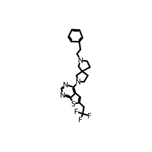 FC(F)(F)Cc1cc2c(N3CCC4(CCN(CCc5ccccc5)C4)C3)ncnc2s1